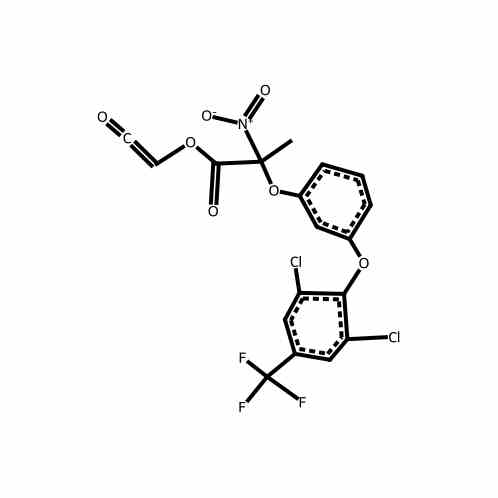 CC(Oc1cccc(Oc2c(Cl)cc(C(F)(F)F)cc2Cl)c1)(C(=O)OC=C=O)[N+](=O)[O-]